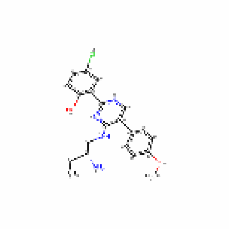 CC[C@@H](N)CNc1nc(-c2cc(Cl)ccc2O)ncc1-c1ccc(OC)cc1